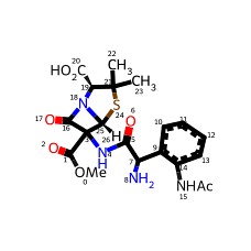 COC(=O)C1(NC(=O)C(N)c2ccccc2NC(C)=O)C(=O)N2[C@@H](C(=O)O)C(C)(C)S[C@@H]21